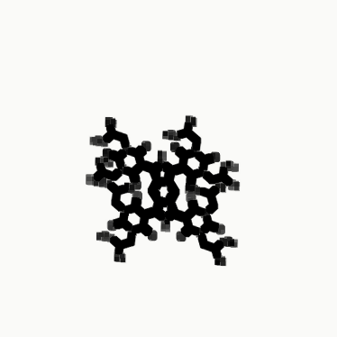 CCCCC(CC)CN1C(=O)C(=c2[nH]c(=C3C(=O)N(CC(CC)CCCC)C(=O)N(CC(CC)CCCC)C3=O)c3cc4c(=C5C(=O)N(CC(CC)CCCC)C(=O)N(CC(CC)CCCC)C5=O)[nH]c(=C5C(=O)N(CC(CC)CCCC)C(=O)N(CC(CC)CCCC)C5=O)c4cc23)C(=O)N(CC(CC)CCCC)C1=O